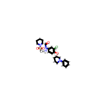 CS(=O)(=O)N1CCCC[C@@H]1C(=O)Nc1ccc(O[C@H]2CCCN(c3ccccc3)C2)c(Cl)c1